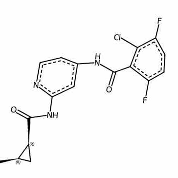 O=C(Nc1ccnc(NC(=O)[C@H]2C[C@H]2F)c1)c1c(F)ccc(F)c1Cl